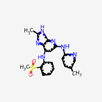 Cc1ccc(Nc2cc(Nc3ccccc3S(C)(=O)=O)c3nc(C)[nH]c3n2)nc1